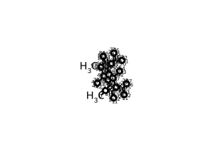 Cc1ccc2c(c1)N(c1ccccc1)c1cc(N(c3ccccc3)c3ccccc3)cc3c1B2c1cc2c(-c4ccccc4)cc4c5c(cc6c(-c7ccccc7)cc-3c1c6c25)B1c2ccc(N(c3ccccc3)c3ccccc3)cc2N(c2ccccc2)c2cc(C)cc-4c21